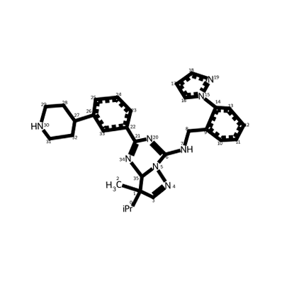 CC(C)C1(C)C=NN2C(NCc3ccccc3-n3cccn3)=NC(c3cccc(C4CCNCC4)c3)=NC21